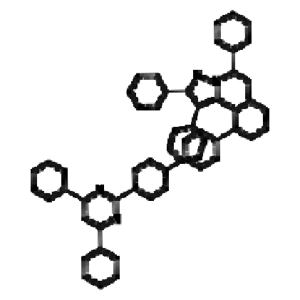 c1ccc(-c2cc(-c3ccccc3)nc(-c3ccc(-c4ccc(-c5cccc6cc(-c7ccccc7)n7nc(-c8ccccc8)c(-c8ccccc8)c7c56)cc4)cc3)n2)cc1